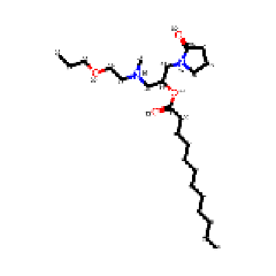 CCCCCCCCCCCC(=O)OC(CN(C)CCOCCC)CN1CCCC1=O